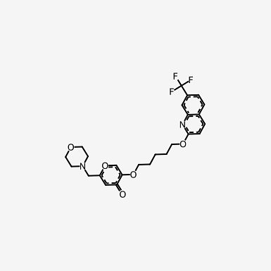 O=c1cc(CN2CCOCC2)occ1OCCCCCOc1ccc2ccc(C(F)(F)F)cc2n1